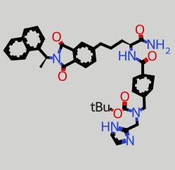 C[C@@H](c1cccc2ccccc12)N1C(=O)c2ccc(CCC[C@H](NC(=O)c3ccc(CN(Cc4ncc[nH]4)C(=O)OC(C)(C)C)cc3)C(N)=O)cc2C1=O